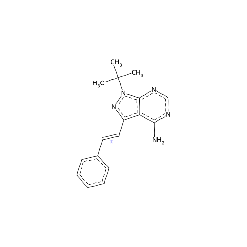 CC(C)(C)n1nc(/C=C/c2ccccc2)c2c(N)ncnc21